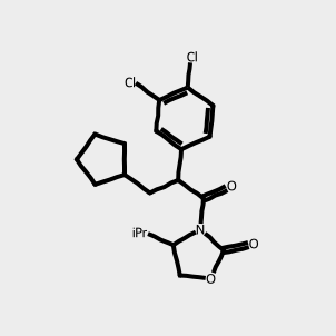 CC(C)C1COC(=O)N1C(=O)C(CC1CCCC1)c1ccc(Cl)c(Cl)c1